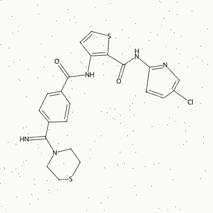 N=C(c1ccc(C(=O)Nc2ccsc2C(=O)Nc2ccc(Cl)cn2)cc1)N1CCSCC1